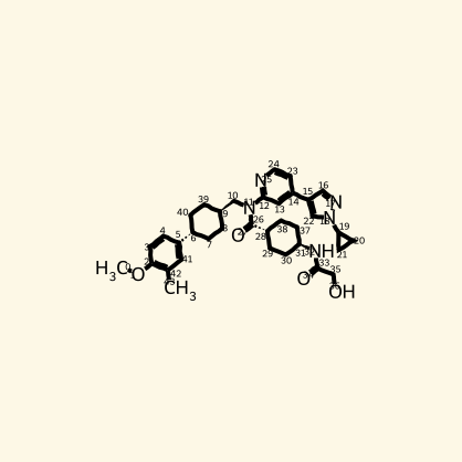 COc1ccc([C@H]2CC[C@H](CN(c3cc(-c4cnn(C5CC5)c4)ccn3)C(=O)[C@H]3CC[C@H](NC(=O)CO)CC3)CC2)cc1C